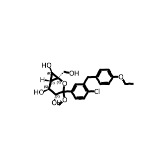 CCOc1ccc(Cc2cc(C3(OC)O[C@@]4(CO)[C@H]([C@H](O)[C@H]3O)[C@H]4O)ccc2Cl)cc1